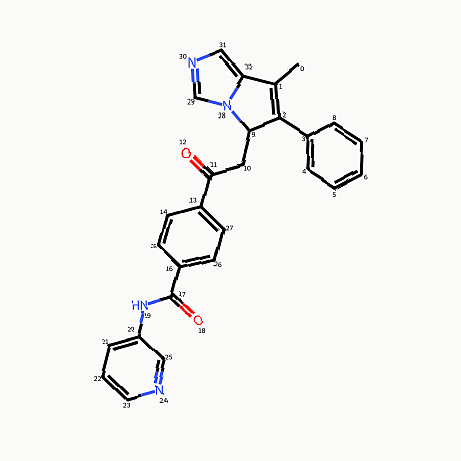 CC1=C(c2ccccc2)C(CC(=O)c2ccc(C(=O)Nc3cccnc3)cc2)n2cncc21